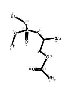 CCOP(=O)(OCC)SC(COC(N)=O)C(C)(C)C